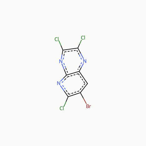 Clc1nc2nc(Cl)c(Cl)nc2cc1Br